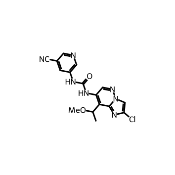 COC(C)c1c(NC(=O)Nc2cncc(C#N)c2)cnn2cc(Cl)nc12